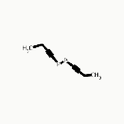 CCC#C[P][P]C#CCC